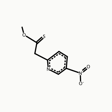 COC(=S)Cc1ccc([N+](=O)[O-])cn1